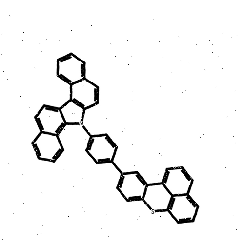 c1cc2c3c(cccc3c1)-c1cc(-c3ccc(-n4c5ccc6ccccc6c5c5ccc6ccccc6c54)cc3)ccc1S2